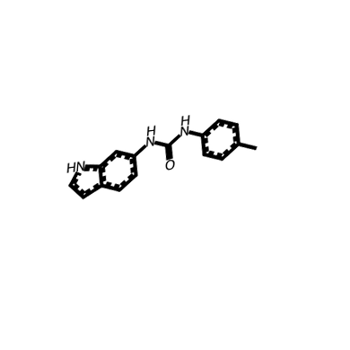 Cc1ccc(NC(=O)Nc2ccc3cc[nH]c3c2)cc1